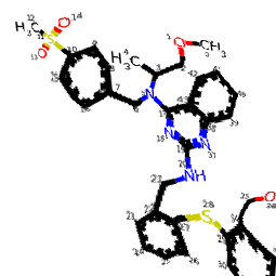 COCC(C)N(Cc1ccc(S(C)(=O)=O)cc1)c1nc(NCc2ccccc2Sc2ccccc2CO)nc2ccccc12